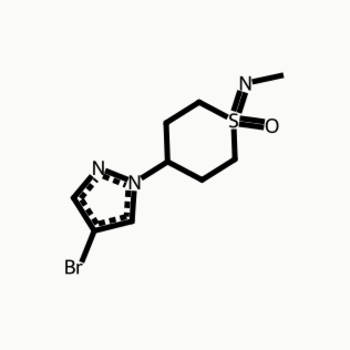 CN=S1(=O)CCC(n2cc(Br)cn2)CC1